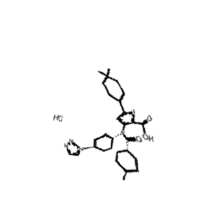 CC1(C)CCC(c2cc(N(C(=O)[C@H]3CC[C@H](C)CC3)[C@H]3CC[C@H](n4ccnn4)CC3)c(C(=O)O)s2)CC1.Cl